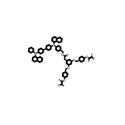 O=C(Cc1cc(OCc2ccc(OC(F)=C(F)F)cc2)cc(OCc2ccc(OC(F)=C(F)F)cc2)c1)OCc1ccc(N(c2ccc(-c3ccc(N(c4ccccc4)c4cccc5ccccc45)cc3)cc2)c2cccc3ccccc23)cc1